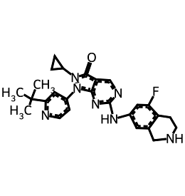 CC(C)(C)c1cc(-n2c3nc(Nc4cc(F)c5c(c4)CNCC5)ncc3c(=O)n2C2CC2)ccn1